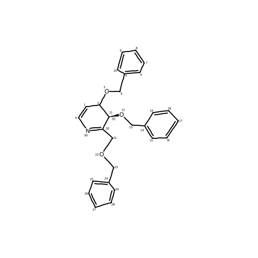 C1=CC(OCc2ccccc2)[C@@H](OCc2ccccc2)C(COCc2ccccc2)=N1